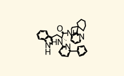 C[C@@](Cc1c[nH]c2ccccc12)(Nc1cccc(-c2ccccc2)n1)C(=O)NCC1(c2ccccn2)CCCCC1